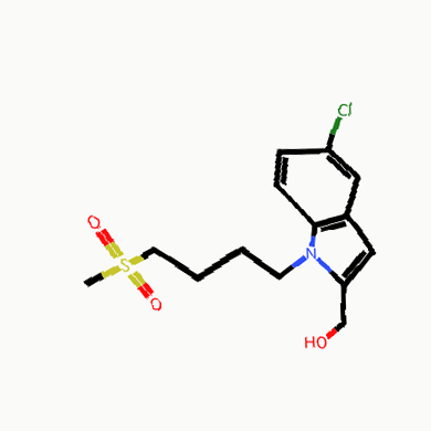 CS(=O)(=O)CCCCn1c(CO)cc2cc(Cl)ccc21